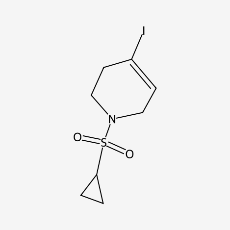 O=S(=O)(C1CC1)N1CC=C(I)CC1